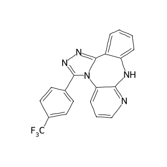 FC(F)(F)c1ccc(-c2nnc3n2-c2cccnc2Nc2ccccc2-3)cc1